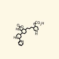 O=C(O)OC1CCNCC1CCCC1CCC(C2CCNC(c3ccccn3)C2)C2NC(=O)OC12